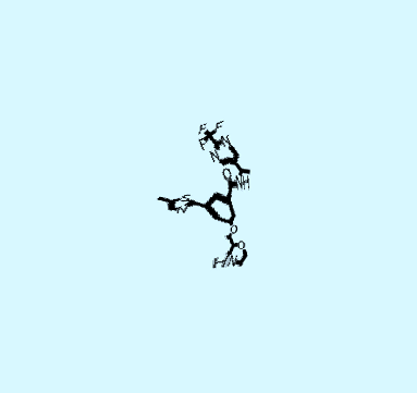 Cc1cnc(-c2cc(OCC3CNCCO3)cc(C(=O)NC(C)c3cnc(C(F)(F)F)nc3)c2)s1